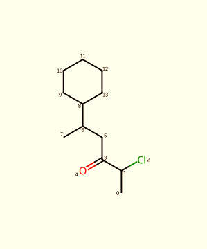 CC(Cl)C(=O)CC(C)C1CCCCC1